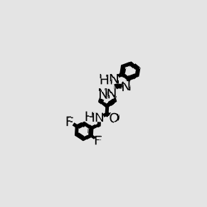 O=C(NCc1cc(F)ccc1F)c1cnn(-c2nc3ccccc3[nH]2)c1